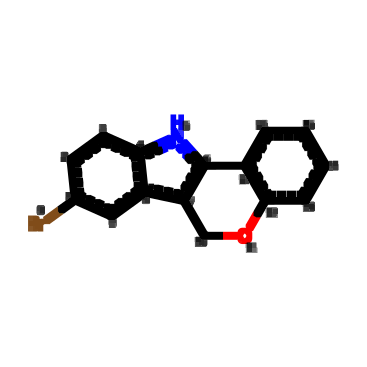 Brc1ccc2[nH]c3c(c2c1)COc1ccccc1-3